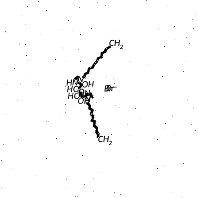 C=CC=CCCCCCCCCCC[n+]1cc[nH]c1C(O)C(O)OC(O)C(O)c1[nH]cc[n+]1CCCCCCCCCCC=CC=C.[Br-].[Br-]